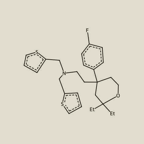 CCC1(CC)CC(CCN(Cc2cccs2)Cc2cccs2)(c2ccc(F)cc2)CCO1